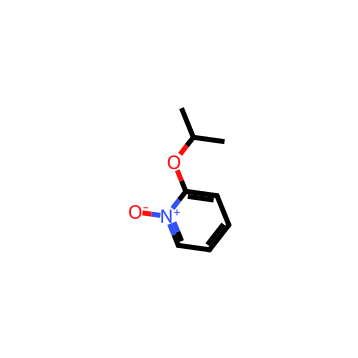 CC(C)Oc1cccc[n+]1[O-]